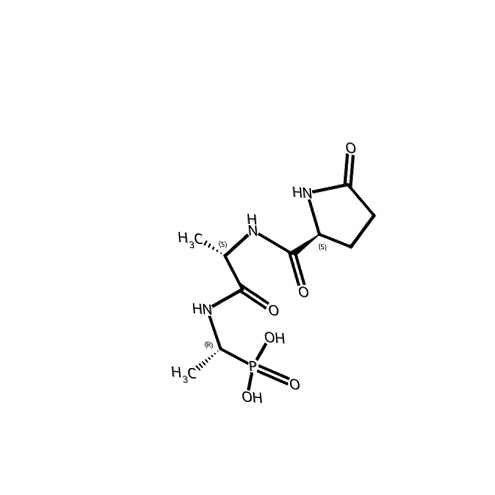 C[C@H](NC(=O)[C@@H]1CCC(=O)N1)C(=O)N[C@@H](C)P(=O)(O)O